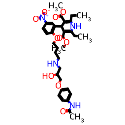 CCC1=C(C(=O)OC)C(c2cc([N+](=O)[O-])ccc2OCCCCNCC(O)COc2ccc(NC(C)=O)cc2)C(C(=O)OC)=C(CC)N1